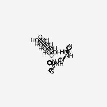 O=C(O)C(=O)O.O=C(O)C(=O)O.O=C(O)C(=O)O.O=C(O)C(=O)O.c1csc(Cn2c(NC3CCN(CCNc4nc5cnccc5[nH]4)C3)nc3ccccc32)c1